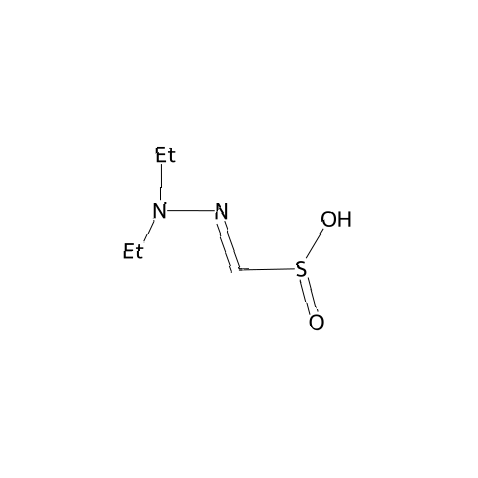 CCN(CC)N=CS(=O)O